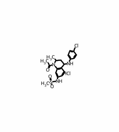 CC(=O)N1c2cc(NS(C)(=O)=O)ccc2C(Nc2ccc(Cl)cc2)CC1C.Cl